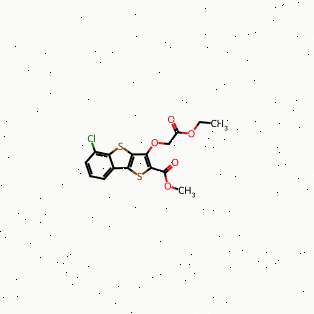 CCOC(=O)COc1c(C(=O)OC)sc2c1sc1c(Cl)cccc12